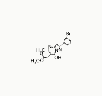 COC(=O)Cc1c(C)nc2cc(-c3cccc(Br)c3)nn2c1O